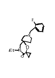 CCN1CC2(CCN(Cc3ccccc3F)CC2)OC2(CC2)C1=O